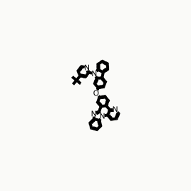 CC(C)(C)c1ccnc(-n2c3ccccc3c3ccc(Oc4ccc5c(c4)c4nc6ccccc6n4c4cccnc54)cc32)c1